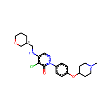 CN1CCC(Oc2ccc(-n3ncc(NC[C@@H]4CCCOC4)c(Cl)c3=O)cc2)CC1